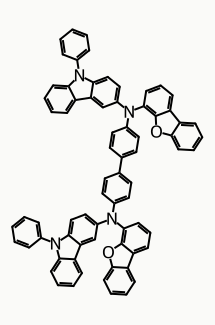 c1ccc(-n2c3ccccc3c3cc(N(c4ccc(-c5ccc(N(c6ccc7c(c6)c6ccccc6n7-c6ccccc6)c6cccc7c6oc6ccccc67)cc5)cc4)c4cccc5c4oc4ccccc45)ccc32)cc1